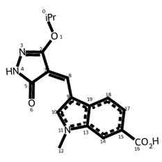 CC(C)OC1=NNC(=O)C1=Cc1cn(C)c2cc(C(=O)O)ccc12